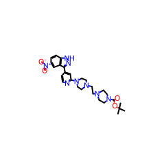 CC(C)(C)OC(=O)N1CCN(CCN2CCN(c3cc(-c4n[nH]c5ccc([N+](=O)[O-])cc45)ccn3)CC2)CC1